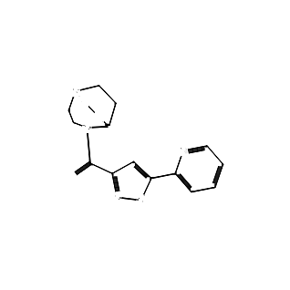 O=C(c1cc(-c2ccccn2)[nH]n1)N1CCN2CCC1CC2